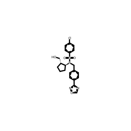 O=S(=O)(c1ccc(Cl)cc1)N(Cc1ccc(-c2ncon2)cc1)[C@H]1CCC[C@@H]1CO